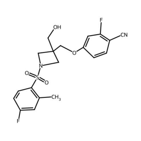 Cc1cc(F)ccc1S(=O)(=O)N1CC(CO)(COc2ccc(C#N)c(F)c2)C1